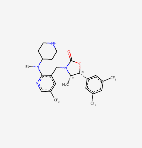 CCN(c1ncc(C(F)(F)F)cc1CN1C(=O)O[C@H](c2cc(C(F)(F)F)cc(C(F)(F)F)c2)[C@@H]1C)C1CCNCC1